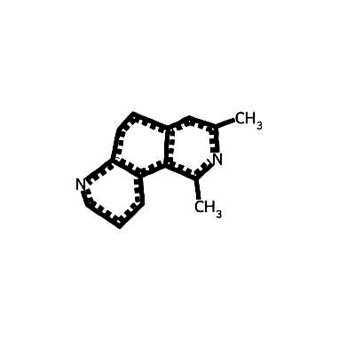 Cc1cc2ccc3ncccc3c2c(C)n1